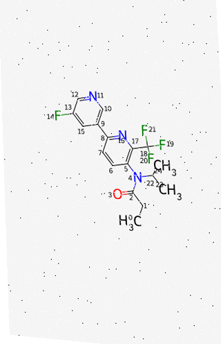 CCC(=O)N(c1ccc(-c2cncc(F)c2)nc1C(F)(F)F)C(C)C